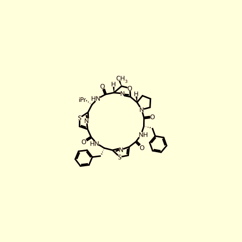 CC(C)[C@@H]1NC(=O)[C@H]2N=C(O[C@@H]2C)[C@@H]2CCCN2C(=O)[C@H](Cc2ccccc2)NC(=O)c2csc(n2)[C@H](Cc2ccccc2)NC(=O)c2csc1n2